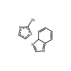 C1=CC2=NC=NC2C=C1.[Zn][c]1nccs1